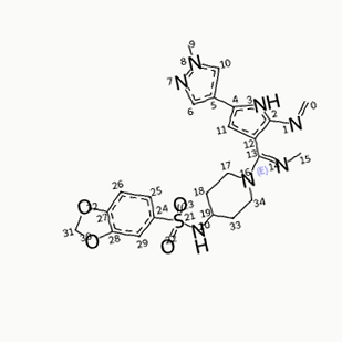 C=Nc1[nH]c(-c2cnn(C)c2)cc1/C(=N\C)N1CCC(NS(=O)(=O)c2ccc3c(c2)OCO3)CC1